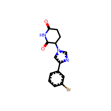 O=C1CCC(n2cnc(-c3cccc(Br)c3)c2)C(=O)N1